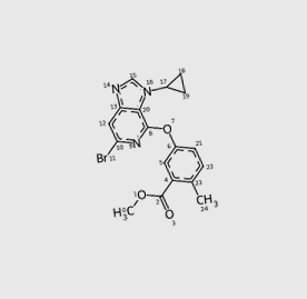 COC(=O)c1cc(Oc2nc(Br)cc3ncn(C4CC4)c23)ccc1C